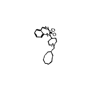 O=S1(=O)N=Cc2ccccc2N1C1CCN(CC2CCCCCCC2)CC1